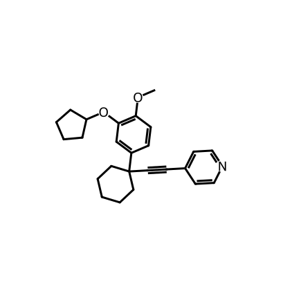 COc1ccc(C2(C#Cc3ccncc3)CCCCC2)cc1OC1CCCC1